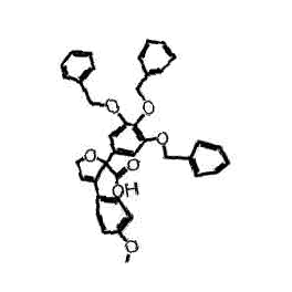 COc1ccc(C2=CCOC2(C(=O)O)c2cc(OCc3ccccc3)c(OCc3ccccc3)c(OCc3ccccc3)c2)cc1